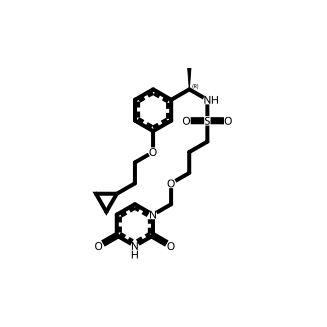 C[C@@H](NS(=O)(=O)CCCOCn1ccc(=O)[nH]c1=O)c1cccc(OCCC2CC2)c1